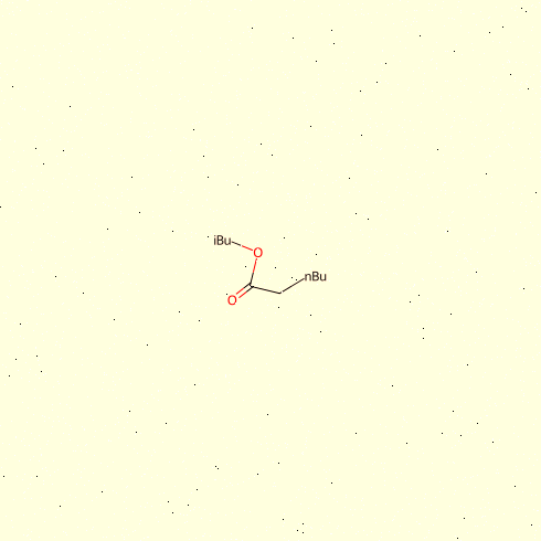 [CH2]CCCCC(=O)OC(C)CC